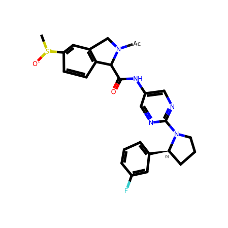 CC(=O)N1Cc2cc([S+](C)[O-])ccc2C1C(=O)Nc1cnc(N2CCC[C@H]2c2cccc(F)c2)nc1